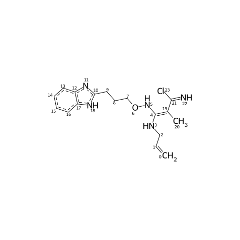 C=CCN/C(NOCCCc1nc2ccccc2[nH]1)=C(\C)C(=N)Cl